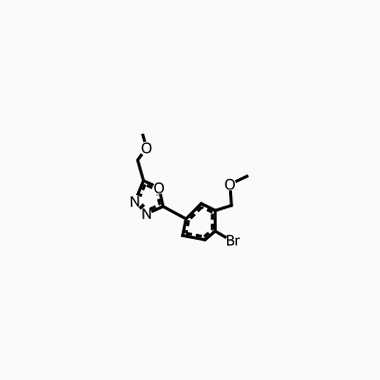 COCc1nnc(-c2ccc(Br)c(COC)c2)o1